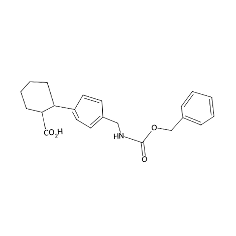 O=C(NCc1ccc(C2CCCCC2C(=O)O)cc1)OCc1ccccc1